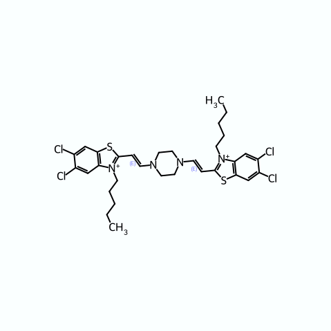 CCCCC[n+]1c(/C=C/N2CCN(/C=C/c3sc4cc(Cl)c(Cl)cc4[n+]3CCCCC)CC2)sc2cc(Cl)c(Cl)cc21